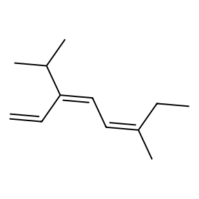 C=C/C(=C\C=C(\C)CC)C(C)C